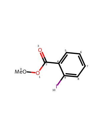 COOC(=O)c1ccccc1I